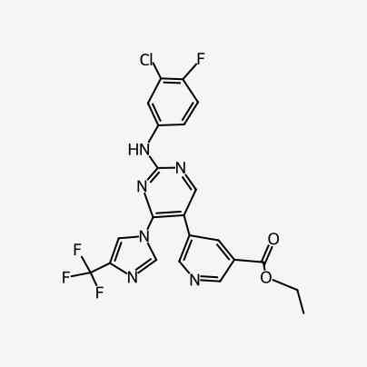 CCOC(=O)c1cncc(-c2cnc(Nc3ccc(F)c(Cl)c3)nc2-n2cnc(C(F)(F)F)c2)c1